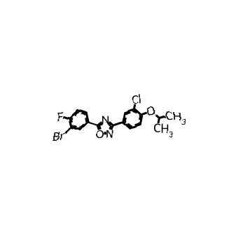 CC(C)Oc1ccc(-c2noc(-c3ccc(F)c(Br)c3)n2)cc1Cl